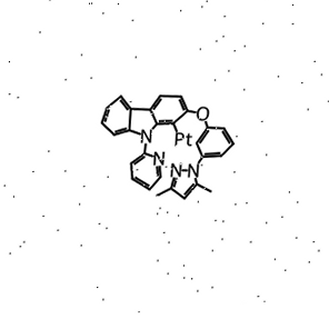 Cc1cc(C)n(-c2cccc(Oc3ccc4c5ccccc5n(-c5ccccn5)c4[c]3[Pt])c2)n1